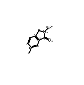 Cc1ccc2c(c1)C(=O)N(C(C)C)C2